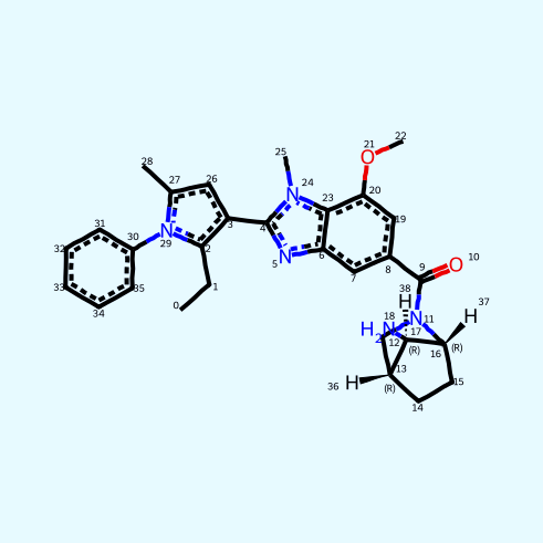 CCc1c(-c2nc3cc(C(=O)N4C[C@H]5CC[C@@H]4[C@@H]5N)cc(OC)c3n2C)cc(C)n1-c1ccccc1